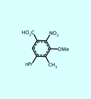 CCCc1cc(C(=O)O)c([N+](=O)[O-])c(OC)c1C